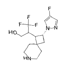 OCC(C1[C@H](n2cc(F)cn2)CC12CCNCC2)C(F)(F)F